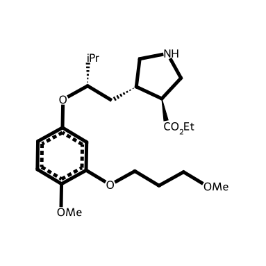 CCOC(=O)[C@@H]1CNC[C@H]1C[C@H](Oc1ccc(OC)c(OCCCOC)c1)C(C)C